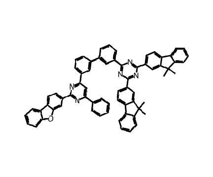 CC1(C)c2ccccc2-c2ccc(-c3nc(-c4cccc(-c5cccc(-c6cc(-c7ccccc7)nc(-c7ccc8c(c7)oc7ccccc78)n6)c5)c4)nc(-c4ccc5c(c4)C(C)(C)c4ccccc4-5)n3)cc21